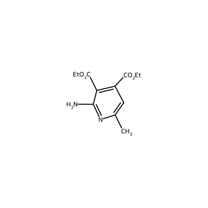 CCOC(=O)c1cc(C)nc(N)c1C(=O)OCC